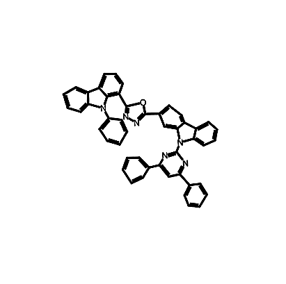 c1ccc(-c2cc(-c3ccccc3)nc(-n3c4ccccc4c4ccc(-c5nnc(-c6cccc7c8ccccc8n(-c8ccccc8)c67)o5)cc43)n2)cc1